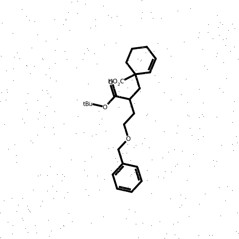 CC(C)(C)OC(=O)C(CCOCc1ccccc1)CC1(C(=O)O)C=CCCC1